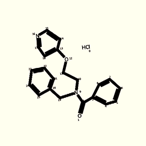 Cl.O=C(c1ccccc1)N(CCOc1ccncc1)Cc1ccccc1